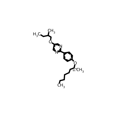 CCCCCC[C@@H](C)Oc1ccc(-c2ncc(OCC(C)CC)cn2)cc1